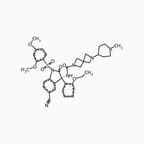 CCOc1ccccc1[C@]1(NC(=O)N2CC3(C2)CN(C2CCN(C)CC2)C3)C(=O)N(S(=O)(=O)c2ccc(OC)cc2OC)c2ccc(C#N)cc21